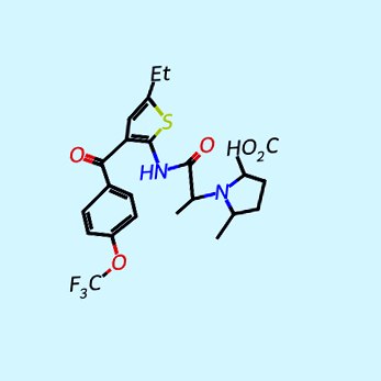 CCc1cc(C(=O)c2ccc(OC(F)(F)F)cc2)c(NC(=O)C(C)N2C(C)CCC2C(=O)O)s1